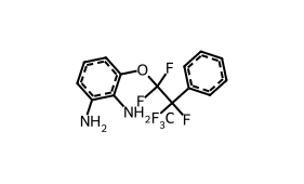 Nc1cccc(OC(F)(F)C(F)(c2ccccc2)C(F)(F)F)c1N